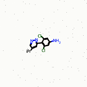 CC(C)c1cnnc(-c2c(Cl)cc(N)cc2Cl)c1